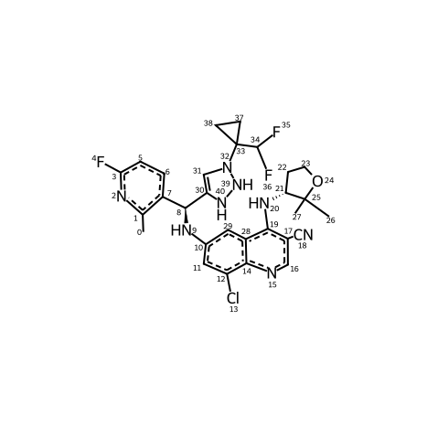 Cc1nc(F)ccc1[C@H](Nc1cc(Cl)c2ncc(C#N)c(N[C@@H]3CCOC3(C)C)c2c1)C1=CN(C2(C(F)F)CC2)NN1